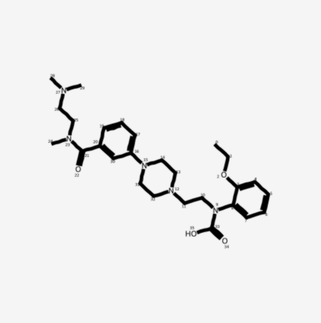 CCOc1ccccc1N(CCN1CCN(c2cccc(C(=O)N(C)CCN(C)C)c2)CC1)C(=O)O